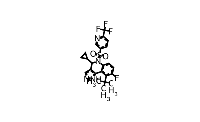 CC(C)(C)c1c(F)ccc2c1-c1[nH]ncc1C(C1CC1)N2S(=O)(=O)c1ccc(C(F)(F)F)nc1